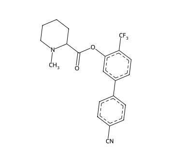 CN1CCCCC1C(=O)Oc1cc(-c2ccc(C#N)cc2)ccc1C(F)(F)F